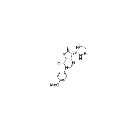 C=c1sc2c(=O)n(-c3ccc(OC)cc3)cnc2/c1=C(/N=C\C)NCC